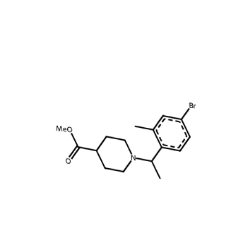 COC(=O)C1CCN(C(C)c2ccc(Br)cc2C)CC1